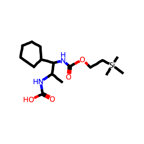 CC(NC(=O)O)C(NC(=O)OCC[Si](C)(C)C)C1CCCCC1